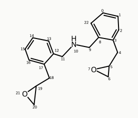 c1ccc(CC2CO2)c(CNCc2ccccc2CC2CO2)c1